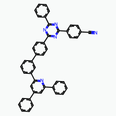 N#Cc1ccc(-c2nc(-c3ccccc3)nc(-c3ccc(-c4cccc(-c5cc(-c6ccccc6)cc(-c6ccccc6)n5)c4)cc3)n2)cc1